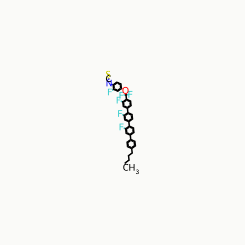 CCCCCc1ccc(-c2ccc(-c3ccc(-c4ccc(C(F)(F)Oc5ccc(N=C=S)c(F)c5)c(F)c4)c(F)c3)c(F)c2)cc1